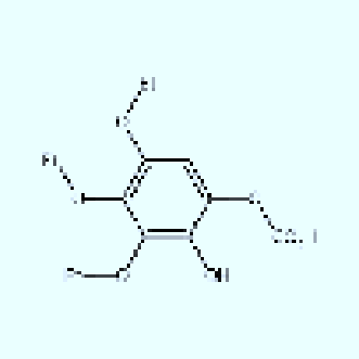 CCOc1cc(OC(=O)O)c(O)c(OCC)c1OCC